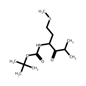 CSCCC(NC(=O)OC(C)(C)C)C(=O)C(C)C